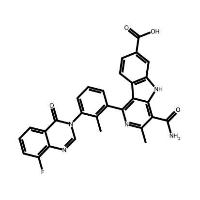 Cc1nc(-c2cccc(-n3cnc4c(F)cccc4c3=O)c2C)c2c([nH]c3cc(C(=O)O)ccc32)c1C(N)=O